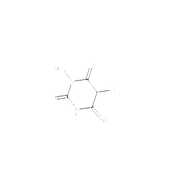 BC1C(=N)NC(=O)N(CCC)C1=O